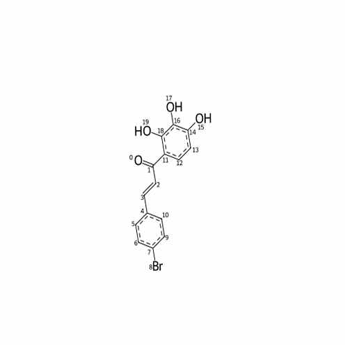 O=C(C=Cc1ccc(Br)cc1)c1ccc(O)c(O)c1O